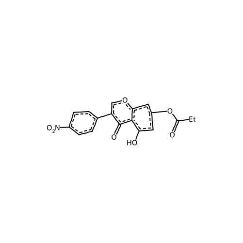 CCC(=O)Oc1cc(O)c2c(=O)c(-c3ccc([N+](=O)[O-])cc3)coc2c1